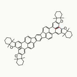 CC12CCCCC1(C)c1cc(-c3ccc4c5cc6c(cc5c5ccc(-c7ccc8c(c7)C7(C)CCCCC7(C)O8)c3c45)c3ccc(-c4ccc5c(c4)C4(C)CCCCC4(C)O5)c4c(-c5ccc7c(c5)C5(C)CCCCC5(C)O7)ccc6c43)ccc1O2